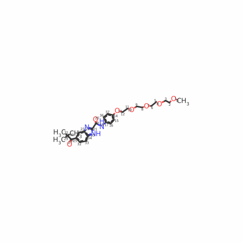 COCCOCCOCCOCCOc1ccc(NC(=O)c2nc3cc(C(=O)C(C)(C)C)ccc3[nH]2)cc1